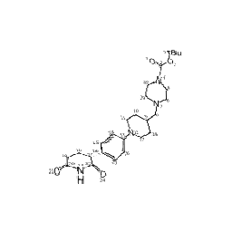 CC(C)(C)OC(=O)N1CCN(CC2CCN(c3ccc([C@H]4CCC(=O)NC4=O)cc3)CC2)CC1